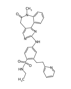 CCNS(=O)(=O)c1ccc(Nc2ncc3c(n2)-c2ccccc2N(C)C(=O)C3)cc1CCc1ccccn1